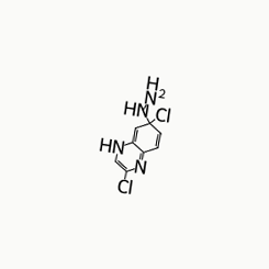 NNC1(Cl)C=CC2=NC(Cl)=CNC2=C1